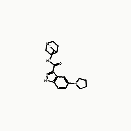 O=C(NC1CN2CCC1CC2)c1n[nH]c2ccc(N3CCCC3)cc12